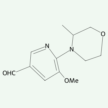 COc1cc(C=O)cnc1N1CCOCC1C